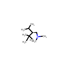 CC(C)[C@@H](CN(C)C)C(C)(C)C